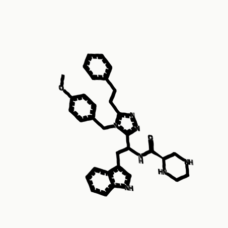 COc1ccc(Cn2c(CCc3ccccc3)nnc2C(Cc2c[nH]c3ccccc23)NC(=O)[C@H]2CNCCN2)cc1